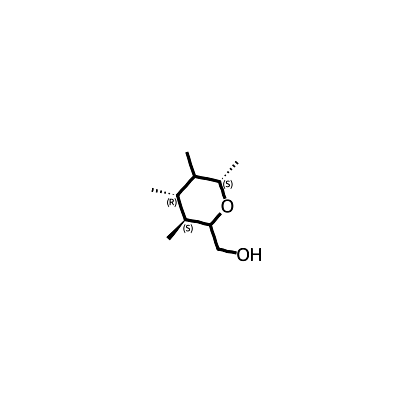 CC1[C@H](C)OC(CO)[C@@H](C)[C@@H]1C